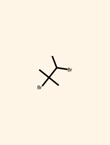 [CH2]C(Br)C(C)(C)Br